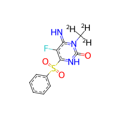 [2H]C([2H])([2H])n1c(=O)[nH]c(S(=O)(=O)c2ccccc2)c(F)c1=N